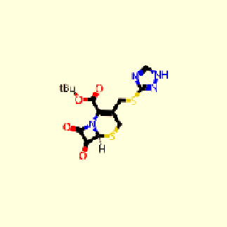 CC(C)(C)OC(=O)C1=C(CSc2nc[nH]n2)CS[C@H]2C(=O)C(=O)N12